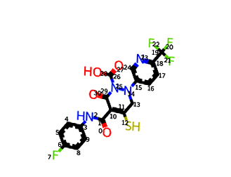 O=C(Nc1ccc(F)cc1)C1=C(S)CN(c2ccc(C(F)(F)F)nc2)N(C(=O)O)C1=O